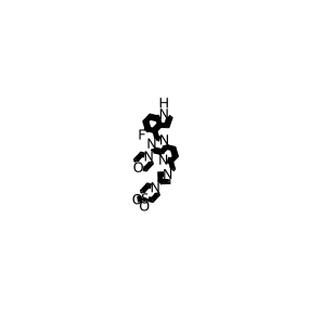 O=S1(=O)CCN(C2CN(Cc3ccc4nc(-c5c(F)ccc6[nH]ccc56)nc(N5CCOCC5)c4n3)C2)CC1